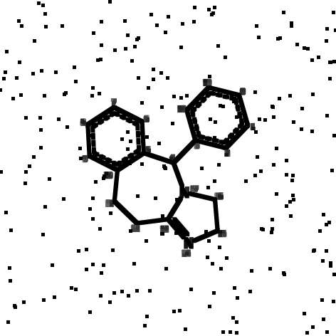 c1ccc(C2c3ccccc3CCC3=NCCN32)cc1